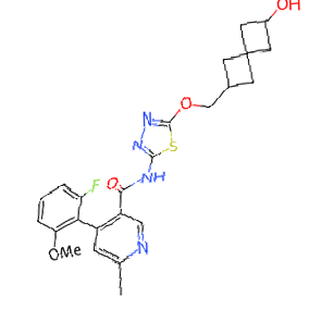 COc1cccc(F)c1-c1cc(C)ncc1C(=O)Nc1nnc(OCC2CC3(CC(O)C3)C2)s1